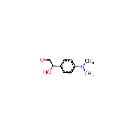 CN(C)c1ccc(C(O)C=O)cc1